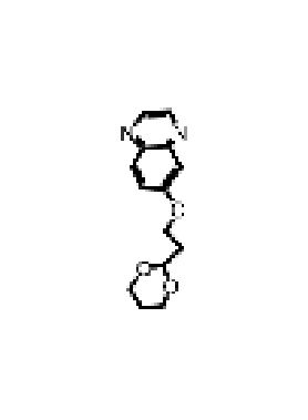 c1cnc2cc(OCCC3OCCCO3)ccc2n1